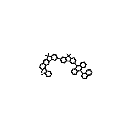 CC1(C)c2ccc(-c3c4ccccc4c(-c4cccc5ccccc45)c4ccccc34)cc2-c2ccc(-c3ccc4c(c3)-c3cc5c(ccc6sc7ccccc7c65)cc3C4(C)C)cc21